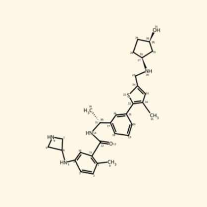 Cc1ccc(NC2CNC2)cc1C(=O)N[C@H](C)c1cccc(-c2sc(CN[C@H]3CC[C@@H](O)C3)cc2C)c1